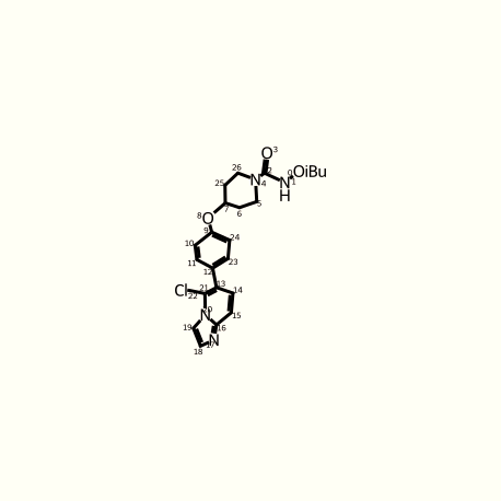 CC(C)CONC(=O)N1CCC(Oc2ccc(-c3ccc4nccn4c3Cl)cc2)CC1